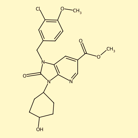 COC(=O)c1cnc2c(c1)n(Cc1ccc(OC)c(Cl)c1)c(=O)n2C1CCC(O)CC1